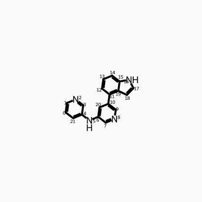 c1cncc(Nc2cncc(-c3cccc4[nH]ccc34)c2)c1